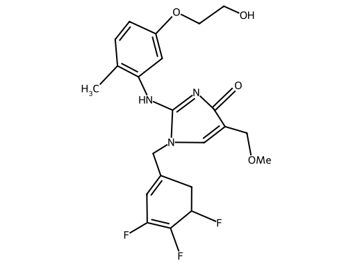 COCc1cn(CC2=CC(F)=C(F)C(F)C2)c(Nc2cc(OCCO)ccc2C)nc1=O